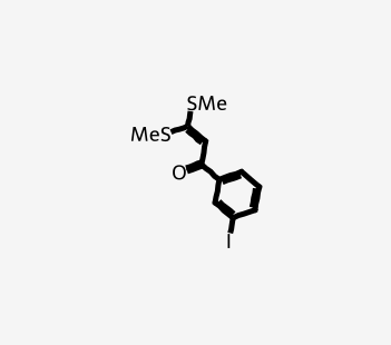 CSC(=CC(=O)c1cccc(I)c1)SC